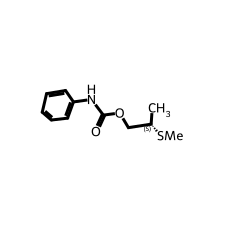 CS[C@@H](C)COC(=O)Nc1ccccc1